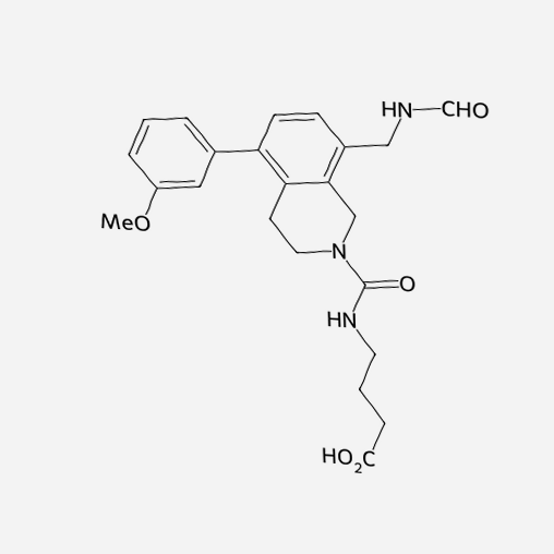 COc1cccc(-c2ccc(CNC=O)c3c2CCN(C(=O)NCCCC(=O)O)C3)c1